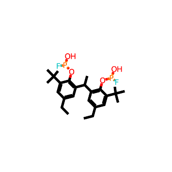 CCc1cc(C(C)c2cc(CC)cc(C(C)(C)C)c2OP(O)F)c(OP(O)F)c(C(C)(C)C)c1